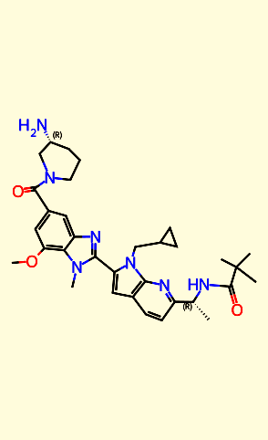 COc1cc(C(=O)N2CCC[C@@H](N)C2)cc2nc(-c3cc4ccc([C@@H](C)NC(=O)C(C)(C)C)nc4n3CC3CC3)n(C)c12